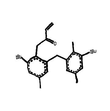 C=CC(=O)Cc1c(Cc2cc(C)cc(C(C)(C)C)c2C)cc(C)cc1C(C)(C)C